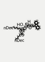 CCCCCCCCCCCCCCCC(=O)OC[C@H](CSC[C@H](NC(=O)OCC1c2ccccc2-c2ccccc21)C(=O)O)OC(=O)CCCCCCCCCCCCCCC